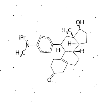 CC(C)N(C)c1ccc([C@H]2C[C@]3(C)[C@@H](O)CC[C@H]3[C@@H]3CCC4=C(CCC(=O)C4)[C@H]32)cc1